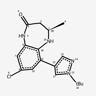 C[C@@H]1CC(=O)Nc2cc(Cl)cc(-c3cnn(C(C)(C)C)c3)c2N1